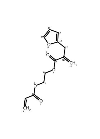 C=CC(=O)OCCOC(=O)C(=C)Cc1ccco1